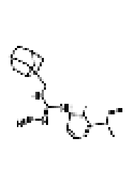 C=C[C@@H](C)c1cccc(N/C(=N/C#N)NCC23CC4CC(CC2C4)C3)c1C